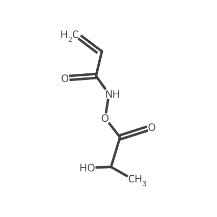 C=CC(=O)NOC(=O)C(C)O